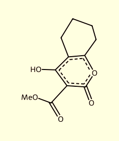 COC(=O)c1c(O)c2c(oc1=O)CCCC2